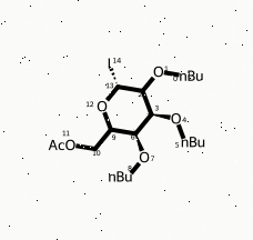 CCCCOC1[C@@H](OCCCC)[C@@H](OCCCC)C(COC(C)=O)O[C@@H]1I